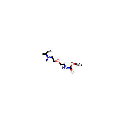 CC(C)C(C)N(C)CCOCCNC(=O)OC(C)(C)C